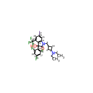 CCN(CC)C1CC(CN2C(=O)C(O)(c3c(F)cc(F)cc3F)c3c2cc(I)cc3C(F)(F)F)C1